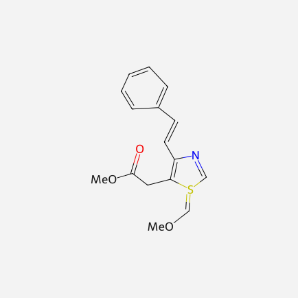 COC=S1C=NC(C=Cc2ccccc2)=C1CC(=O)OC